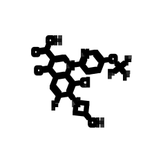 O=C(O)c1cn(-c2ccc(OC(F)(F)F)cn2)c2c(Cl)c(N3CC(O)C3)c(F)cc2c1=O